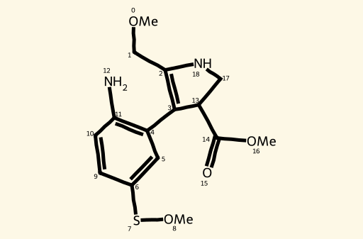 COCC1=C(c2cc(SOC)ccc2N)C(C(=O)OC)CN1